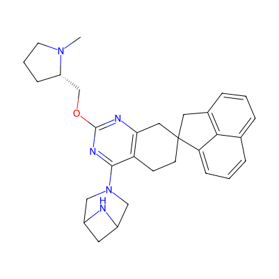 CN1CCC[C@H]1COc1nc2c(c(N3CC4CC(C3)N4)n1)CCC1(C2)Cc2cccc3cccc1c23